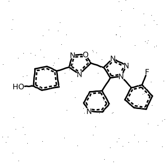 Oc1ccc(-c2noc(-c3nnn(-c4ccccc4F)c3-c3ccncc3)n2)cc1